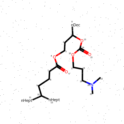 CCCCCCCCCCC(CCOC(=O)CCCC(CCCCCCC)CCCCCCC)OC(=O)OCCCN(C)C